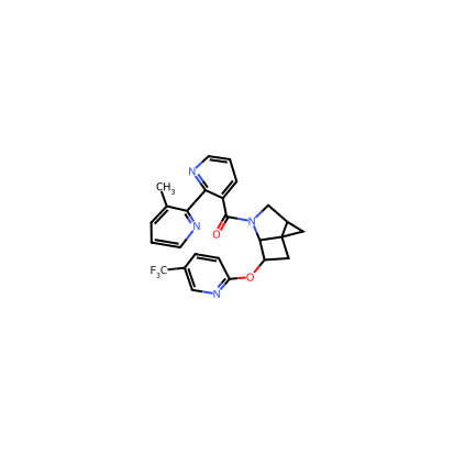 Cc1cccnc1-c1ncccc1C(=O)N1CC2CC23CC(Oc2ccc(C(F)(F)F)cn2)C13